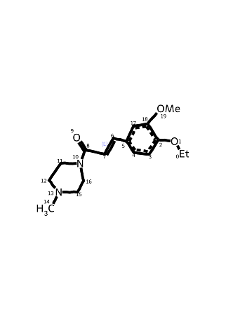 CCOc1ccc(/C=C/C(=O)N2CCN(C)CC2)cc1OC